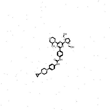 CC1COCCN1c1nc(-c2ccc(NC(=O)Nc3ccc(N4CCN(C5CC5)CC4)cc3)cc2)nc(N2[C@H](CO)CC[C@@H]2CO)n1